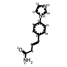 NC(=O)CC=Cc1ccc(-n2ccnc2)cc1